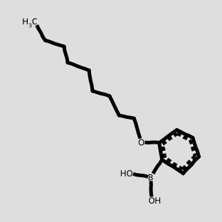 CCCCCCCCCOc1ccccc1B(O)O